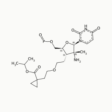 CC(C)OC(=O)C1(CCOCC[C@@H]2[C@@H](COP=O)O[C@@H](n3ccc(=O)[nH]c3=O)[C@]2(C)N)CC1